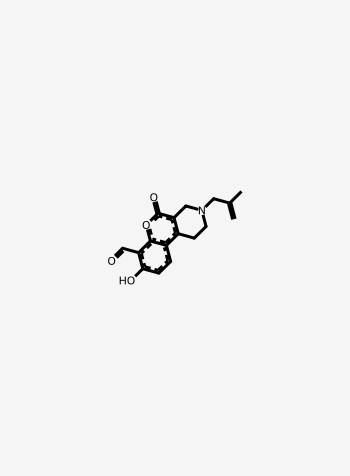 C=C(C)CN1CCc2c(c(=O)oc3c(C=O)c(O)ccc23)C1